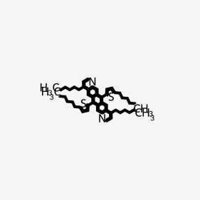 CCCCCCc1ccc(-c2c3cc4nccc(CCCCCC)c4cc3c(-c3ccc(CCCCCC)s3)c3cc4nccc(CCCCCC)c4cc23)s1